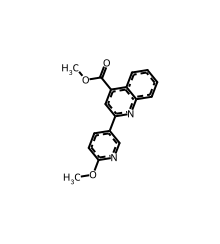 COC(=O)c1cc(-c2ccc(OC)nc2)nc2ccccc12